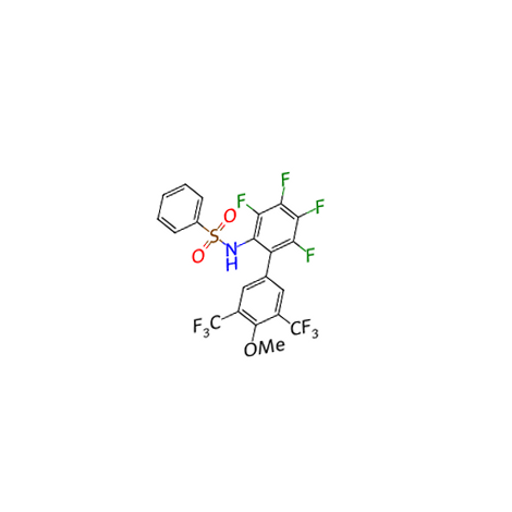 COc1c(C(F)(F)F)cc(-c2c(F)c(F)c(F)c(F)c2NS(=O)(=O)c2ccccc2)cc1C(F)(F)F